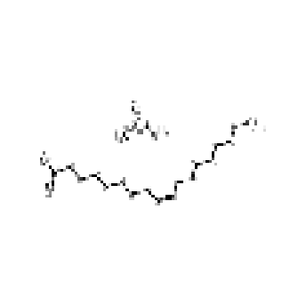 CCCCCCCC/C=C\CCCCCCCC(=O)[O-].[CH3][Sn+]([CH3])[Cl]